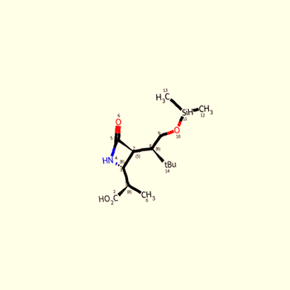 C[C@@H](C(=O)O)[C@@H]1NC(=O)[C@H]1[C@@H](CO[SiH](C)C)C(C)(C)C